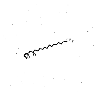 CCCCCCCCCCCCCCCC(=O)Cc1ccco1